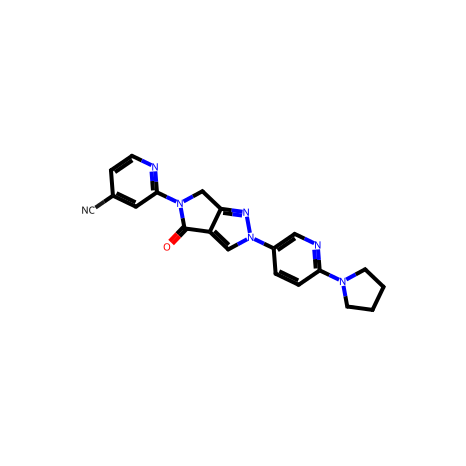 N#Cc1ccnc(N2Cc3nn(-c4ccc(N5CCCC5)nc4)cc3C2=O)c1